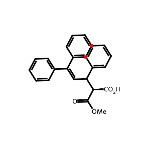 COC(=O)[C@H](C(=O)O)C(C=C(c1ccccc1)c1ccccc1)c1ccccc1